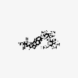 C[C@H]([C@H](O)[C@@H](O)[C@@H](O)C(C)(C)O)[C@H]1CC[C@@]2(C)C3CC=C4[C@H](CCC(O[C@@H]5O[C@H](CO[C@@H]6O[C@H](CO)[C@H](O)[C@H](O)[C@H]6O)[C@H](O)[C@H](O)[C@H]5O)C4(C)C)[C@@]3(C)CC[C@]12C